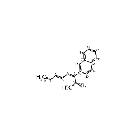 C=CC=CC=C(C(C)=O)c1ccc2ccccc2c1